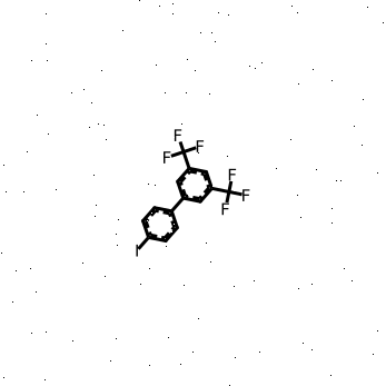 FC(F)(F)c1cc(-c2ccc(I)cc2)cc(C(F)(F)F)c1